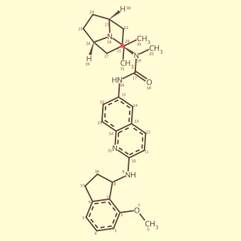 COc1cccc2c1C(Nc1ccc3cc(NC(=O)N(C)[C@@H]4C[C@H]5CC[C@@H](C4)N5C(C)C)ccc3n1)CC2